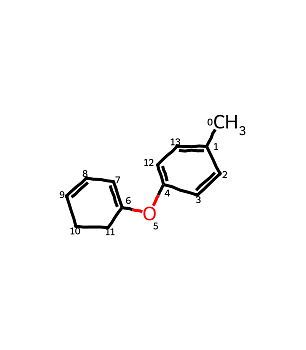 Cc1ccc(OC2=CC=CCC2)cc1